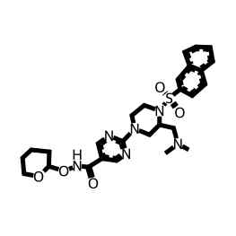 CN(C)CC1CN(c2ncc(C(=O)NOC3CCCCO3)cn2)CCN1S(=O)(=O)c1ccc2ccccc2c1